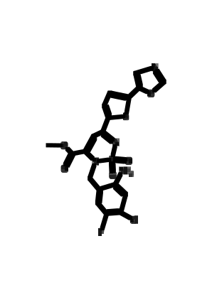 COC(=O)C1=CC(c2ccc(-c3cnco3)s2)=NS(=O)(=O)N1Cc1cc(F)c(Cl)cc1N